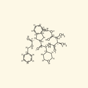 C[C@@H](C(=O)NC(C(=O)N1Cc2ccccc2[C@H]1C(=O)OCc1ccccc1)C1CCOCC1)N(C)C(=O)OC(C)(C)C